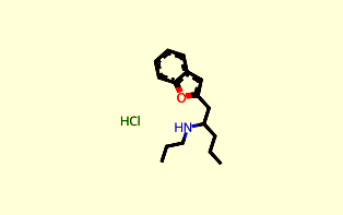 CCCNC(CCC)Cc1cc2ccccc2o1.Cl